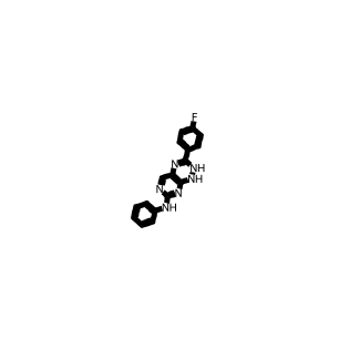 Fc1ccc(C2=Nc3cnc(Nc4ccccc4)nc3NN2)cc1